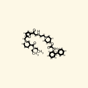 CCN(CC)C(=O)C1CCCN(Cc2ccc(C(=O)CNCCN3CCC(OC(=O)Nc4ccccc4-c4ccccc4)CC3)o2)C1